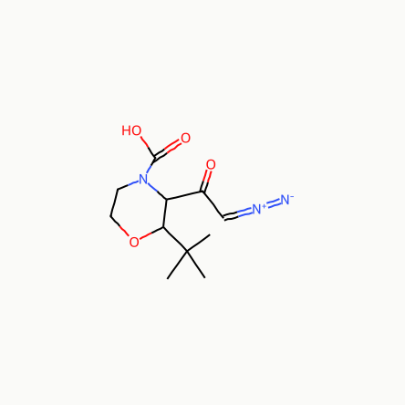 CC(C)(C)C1OCCN(C(=O)O)C1C(=O)C=[N+]=[N-]